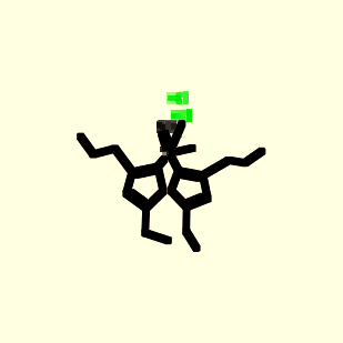 CCCC1=[C]([Ti]([CH3])([CH3])(=[SiH2])[C]2=C(CCC)C=C(CC)C2)CC(CC)=C1.Cl.Cl